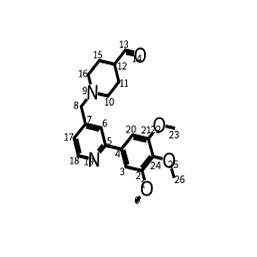 COc1cc(-c2cc(CN3CCC(C=O)CC3)ccn2)cc(OC)c1OC